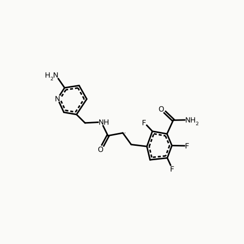 NC(=O)c1c(F)c(F)cc(C[CH]C(=O)NCc2ccc(N)nc2)c1F